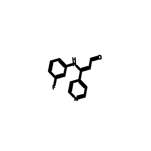 O=C/C=C(\Nc1cccc(F)c1)c1ccncc1